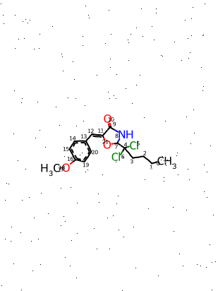 CCCCC(Cl)(Cl)C1NC(=O)C(=Cc2ccc(OC)cc2)O1